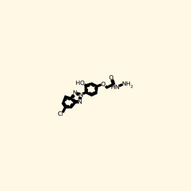 NNC(=O)COc1ccc(-n2nc3ccc(Cl)cc3n2)c(O)c1